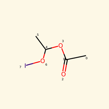 CC(=O)OC(C)OI